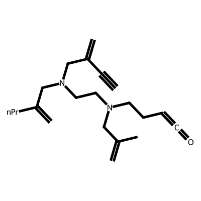 C#CC(=C)CN(CCN(CCC=C=O)CC(=C)C)CC(=C)CCC